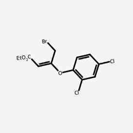 CCOC(=O)/C=C(\CBr)Oc1ccc(Cl)cc1Cl